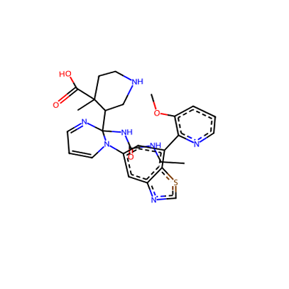 CCNC(=O)NC1(C2CNCCC2(C)C(=O)O)N=CC=CN1c1cc(-c2ncccc2OC)c2scnc2c1